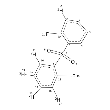 [2H]c1cccc(S(=O)(=O)c2c([2H])c([2H])c([2H])c([2H])c2F)c1F